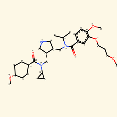 COCCCOc1cc(C(=O)N(C[C@@H]2CNC[C@H]2CN(C(=O)[C@H]2CC[C@H](OC)CC2)C2CC2)C(C)C)ccc1OC